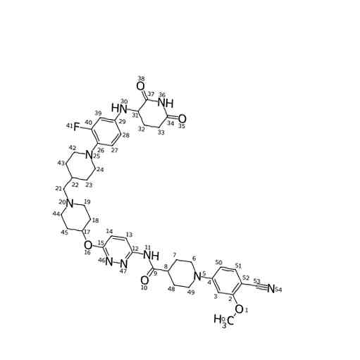 COc1cc(N2CCC(C(=O)Nc3ccc(OC4CCN(CC5CCN(c6ccc(NC7CCC(=O)NC7=O)cc6F)CC5)CC4)nn3)CC2)ccc1C#N